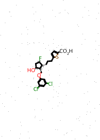 O=C(O)c1ccc(CCC[C@@H]2[C@@H](COc3cc(Cl)cc(Cl)c3)[C@H](O)C[C@@H]2F)s1